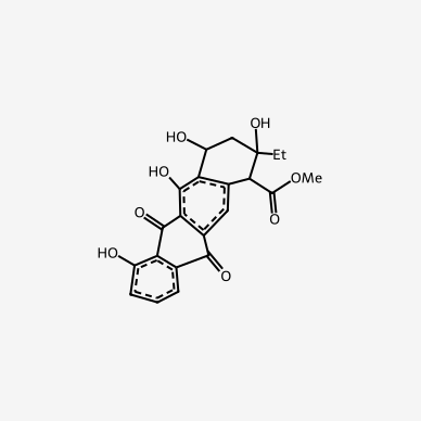 CCC1(O)CC(O)c2c(cc3c(c2O)C(=O)c2c(O)cccc2C3=O)C1C(=O)OC